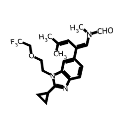 CC(C)=C/C(=C\N(C)C=O)c1ccc2nc(C3CC3)n(CCOCC(F)(F)F)c2c1